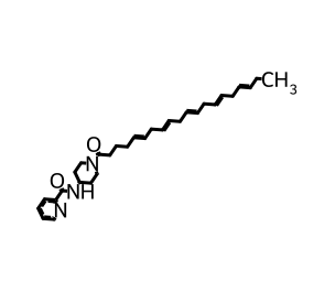 CCC=CCC=CCC=CCC=CCC=CCCCC(=O)N1CCC(NC(=O)c2ccccn2)CC1